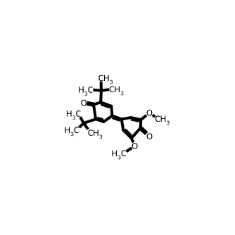 COC1=CC(=C2C=C(C(C)(C)C)C(=O)C(C(C)(C)C)=C2)C=C(OC)C1=O